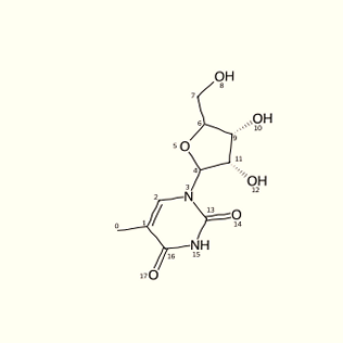 Cc1cn(C2OC(CO)[C@H](O)[C@@H]2O)c(=O)[nH]c1=O